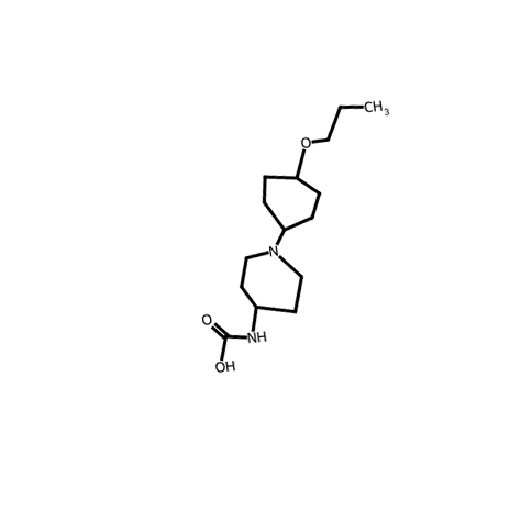 CCCOC1CCC(N2CCC(NC(=O)O)CC2)CC1